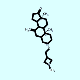 C=C1CC2C[C@@H](CCC3CN(C)C3)CC[C@]2(C)C2CC[C@]3(C)C(=O)CCC3C12